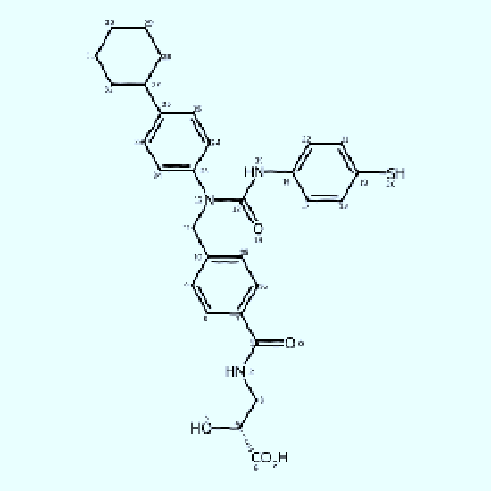 O=C(NC[C@@H](O)C(=O)O)c1ccc(CN(C(=O)Nc2ccc(S)cc2)c2ccc(C3CCCCC3)cc2)cc1